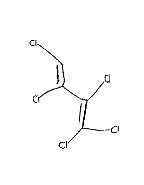 Cl/C=C(\Cl)C(Cl)=C(Cl)Cl